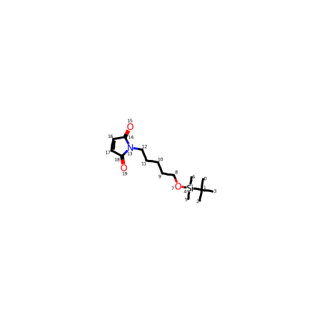 CC(C)(C)[Si](C)(C)OCCCCCN1C(=O)C=CC1=O